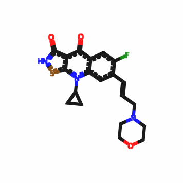 O=c1[nH]sc2c1c(=O)c1cc(F)c(C=CCN3CCOCC3)cc1n2C1CC1